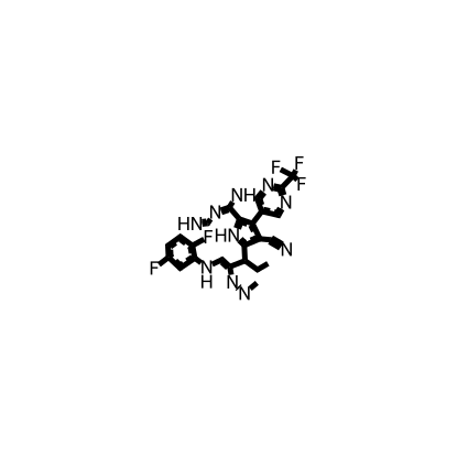 CCC(C(=C/Nc1cc(F)ccc1F)/N=N\C)c1[nH]c(/C(N)=N\C=N)c(-c2cnc(C(F)(F)F)nc2)c1C#N